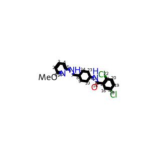 COc1cccc(NCC2CCC(NC(=O)c3cc(Cl)ccc3Cl)CC2)n1